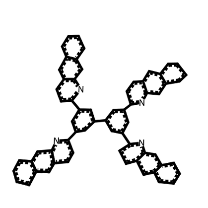 c1ccc2cc3nc(-c4cc(-c5cc(-c6ccc7cc8ccccc8cc7n6)cc(-c6ccc7cc8ccccc8cc7n6)c5)cc(-c5ccc6cc7ccccc7cc6n5)c4)ccc3cc2c1